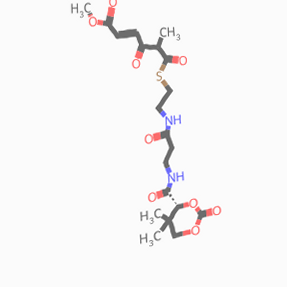 COC(=O)/C=C/C(=O)C(C)C(=O)SCCNC(=O)CCNC(=O)[C@@H]1OC(=O)OCC1(C)C